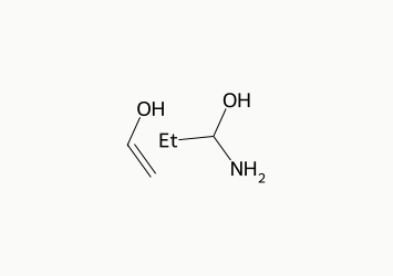 C=CO.CCC(N)O